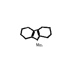 [CH]1C2=C(CCCC2)C2=C1CCCC2.[Mn]